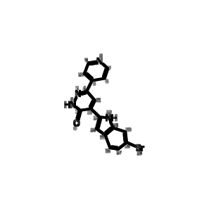 O=c1[nH]nc(-c2ccncc2)cc1-c1cc2ccc(Br)cc2[nH]1